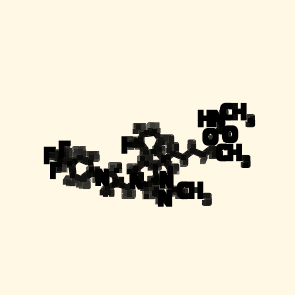 CNC(=O)OC(C)CCCCC(Cn1ccnc1C)(c1cccc(F)c1)C1CCN(CC2CN(c3ccc(C(F)(F)F)cc3)C2)CC1